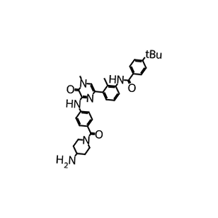 Cc1c(NC(=O)c2ccc(C(C)(C)C)cc2)cccc1-c1cn(C)c(=O)c(Nc2ccc(C(=O)N3CCC(N)CC3)cc2)n1